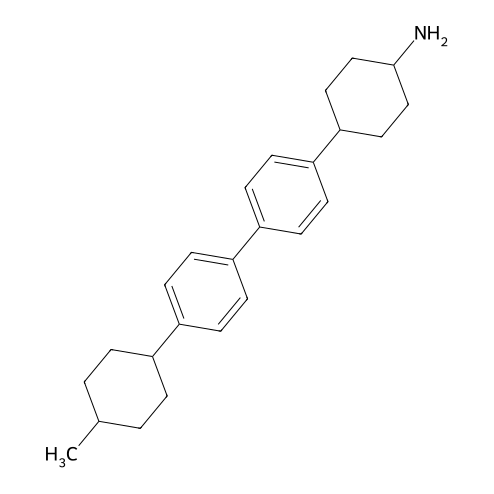 CC1CCC(c2ccc(-c3ccc(C4CCC(N)CC4)cc3)cc2)CC1